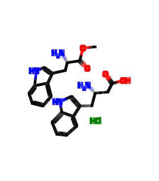 COC(=O)[C@@H](N)Cc1c[nH]c2ccccc12.Cl.N[C@H](CC(=O)O)Cc1c[nH]c2ccccc12